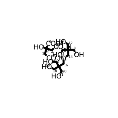 O=C(O)CC(O)(CC(=O)O)C(=O)O.OCC(CO)(CO)COCC(CO)(CO)CO